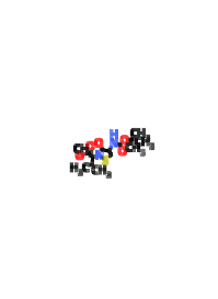 COC(=O)C(C(C)C)N1SCC(NC(=O)OC(C)(C)C)C1=O